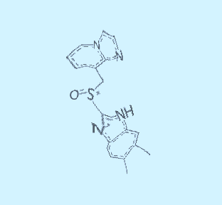 Cc1cc2nc([S+]([O-])Cc3cccn4ccnc34)[nH]c2cc1C